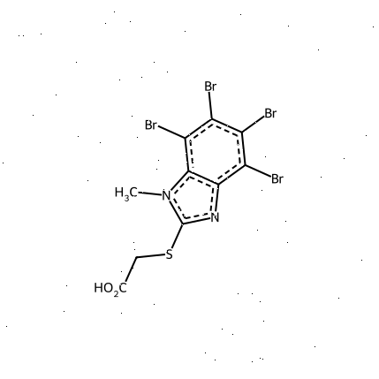 Cn1c(SCC(=O)O)nc2c(Br)c(Br)c(Br)c(Br)c21